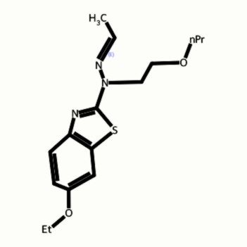 C/C=N/N(CCOCCC)c1nc2ccc(OCC)cc2s1